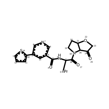 CCCC(NC(=O)c1cncc(-c2cccs2)c1)C(=O)N1CCC2OCC(=O)C21